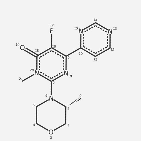 C[C@@H]1COCCN1c1nc(-c2ccncn2)c(F)c(=O)n1C